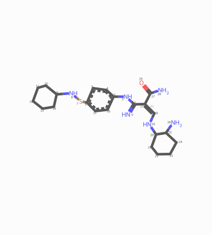 N=C(Nc1ccc(SNC2CCCCC2)cc1)/C(=C\NC1CCCCC1N)C(N)=O